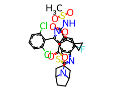 CS(=O)(=O)NC(=O)c1cc(F)c2nc(N3C4CCC3CC(OC(=O)c3c(-c5c(Cl)cccc5Cl)noc3C3CC3)C4)sc2c1